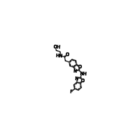 O=C(Cc1ccc2oc(Nc3nc4cc(F)ccc4o3)nc2c1)NCCO